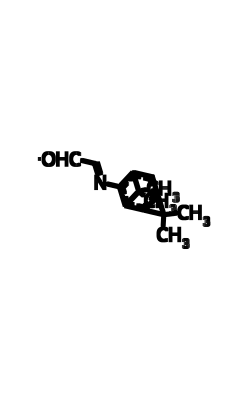 CC1(C)c2cc3c(N=C[C]=O)c(c21)C3(C)C